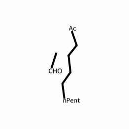 CC=O.CCCCCCCCCC(C)=O